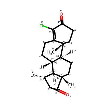 CC[C@H]1CC(=O)[C@@]2(C)CC[C@H]3[C@@H](CCC4=C(Cl)C(=O)CC[C@@]43C)[C@H]12